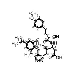 COc1ccc(CCOC(=O)NC(CC(=O)O)C(=O)Cn2nnnc2Sc2c(C)cc(N(C)C)cc2C)cc1.Cl